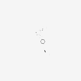 CC#CCOc1ccc(S(=O)(=O)N2CC(C)(C(=O)O)OC(C)(C)C2=S)cc1